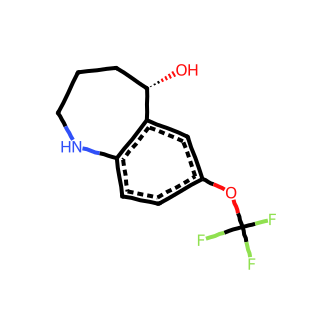 O[C@H]1CCCNc2ccc(OC(F)(F)F)cc21